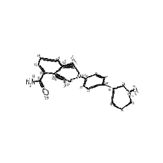 CCN1CCC[C@@H](c2ccc(-n3cc4cccc(C(N)=O)c4n3)cc2)C1